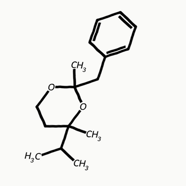 CC(C)C1(C)CCOC(C)(Cc2ccccc2)O1